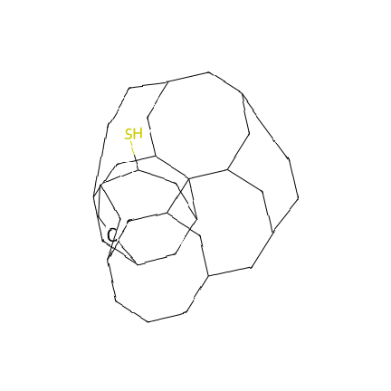 SC1CC2CC3CCC1CC1CCCC4CC5CCC6CC7CCC(C3)CC(C7)C2(C(C6)C5)C(C4)C1